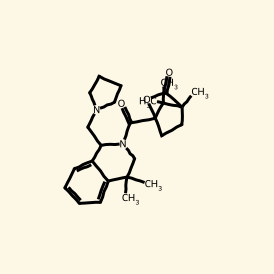 CC1(C)CN(C(=O)C23CCC(C)(C(=O)O2)C3(C)C)C(CN2CCCC2)c2ccccc21